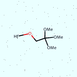 COC(C[O][Hf])(OC)OC